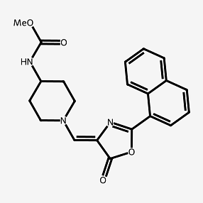 COC(=O)NC1CCN(C=C2N=C(c3cccc4ccccc34)OC2=O)CC1